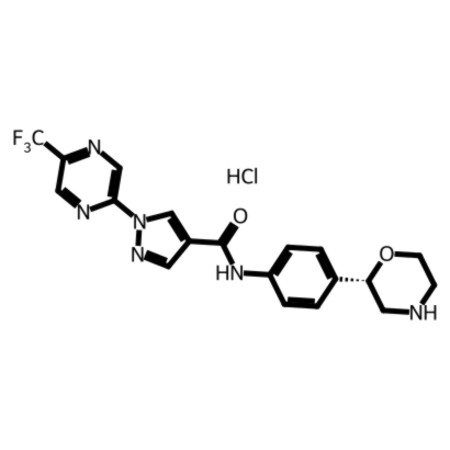 Cl.O=C(Nc1ccc([C@H]2CNCCO2)cc1)c1cnn(-c2cnc(C(F)(F)F)cn2)c1